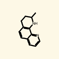 CC1CCc2ccc3cccnc3c2N1